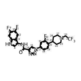 O=C(Nc1c[nH]c2cc(F)c(F)cc12)c1cn(-c2ccc(C3CCN(CC(F)(F)F)CC3)c(F)c2)nn1